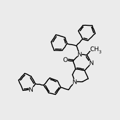 Cc1nc2c(c(=O)n1C(c1ccccc1)c1ccccc1)CN(Cc1ccc(-c3ccccn3)cc1)CC2